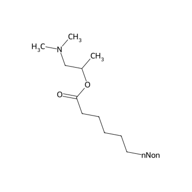 CCCCCCCCCCCCCCC(=O)OC(C)CN(C)C